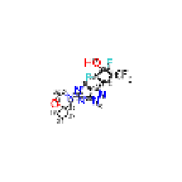 Cn1nc(-c2cc(C(F)(F)F)c(F)c(O)c2F)c2cnc(N3CCOC4(CCC4)C3)nc21